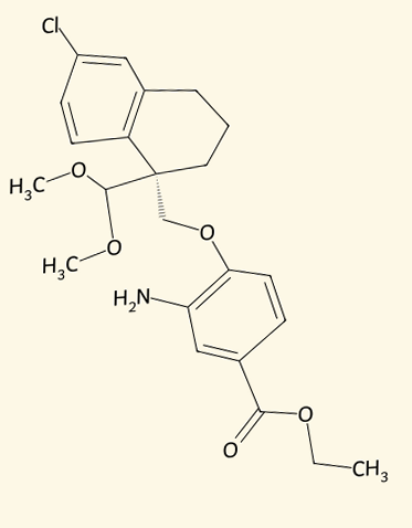 CCOC(=O)c1ccc(OC[C@@]2(C(OC)OC)CCCc3cc(Cl)ccc32)c(N)c1